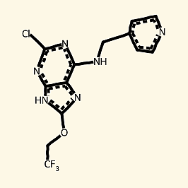 FC(F)(F)COc1nc2c(NCc3ccncc3)nc(Cl)nc2[nH]1